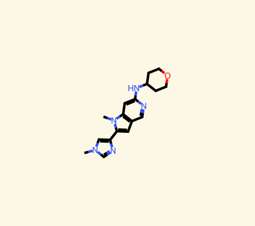 Cn1cnc(-c2cc3cnc(NC4CCOCC4)cc3n2C)c1